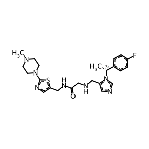 C[C@H](c1ccc(F)cc1)n1cncc1CNCC(=O)NCc1cnc(N2CCN(C)CC2)s1